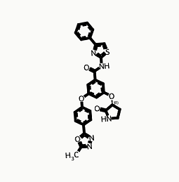 Cc1nnc(-c2ccc(Oc3cc(O[C@@H]4CCNC4=O)cc(C(=O)Nc4nc(-c5ccccc5)cs4)c3)cc2)o1